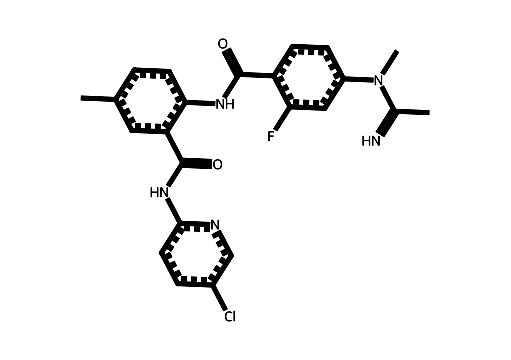 CC(=N)N(C)c1ccc(C(=O)Nc2ccc(C)cc2C(=O)Nc2ccc(Cl)cn2)c(F)c1